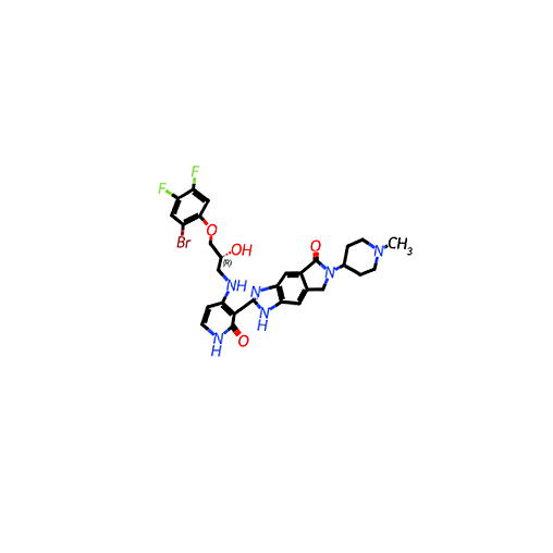 CN1CCC(N2Cc3cc4[nH]c(-c5c(NC[C@@H](O)COc6cc(F)c(F)cc6Br)cc[nH]c5=O)nc4cc3C2=O)CC1